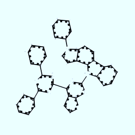 c1ccc(-c2nc(-c3ccccc3)nc(-c3nc(-n4c5ccccc5c5ccc6c(ccn6-c6ccccc6)c54)nc4sccc34)n2)cc1